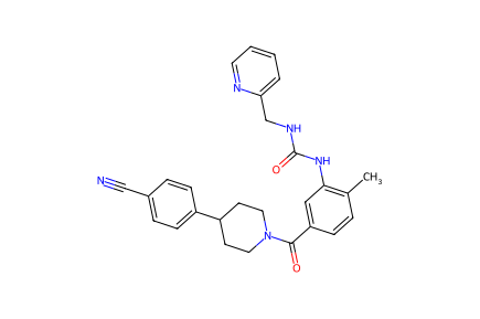 Cc1ccc(C(=O)N2CCC(c3ccc(C#N)cc3)CC2)cc1NC(=O)NCc1ccccn1